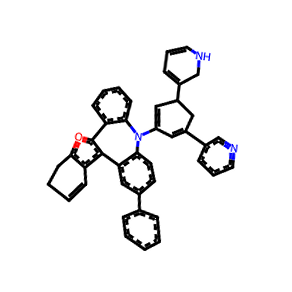 C1=CNCC(C2C=C(N3c4ccccc4-c4oc5c(c4-c4cc(-c6ccccc6)ccc43)C=CCC5)C=C(c3cccnc3)C2)=C1